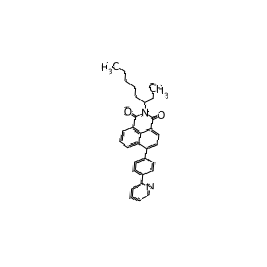 CCCCCC(CC)N1C(=O)c2cccc3c(C4=C=C=C(C5=C=C=CC=N5)C=C4)ccc(c23)C1=O